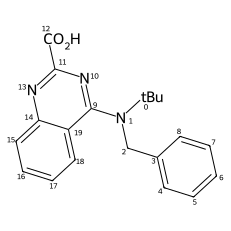 CC(C)(C)N(Cc1ccccc1)c1nc(C(=O)O)nc2ccccc12